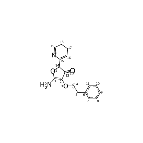 NC1=C(OSCc2ccccc2)C(=O)C(C2=CCCC=N2)O1